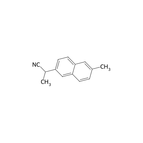 Cc1ccc2cc(C(C)C#N)ccc2c1